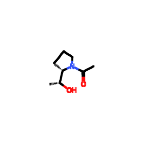 CC(=O)N1CCC[C@H]1[C@@H](C)O